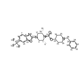 C[C@@H]1CN(c2nc3ccc(C(F)(F)F)cc3o2)C[C@H](C)N1C(=O)OC1CCN(Cc2ccccc2)CC1